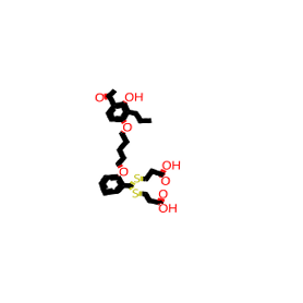 CCCc1c(OCCCCCOc2ccccc2C(SCCC(=O)O)SCCC(=O)O)ccc(C(C)=O)c1O